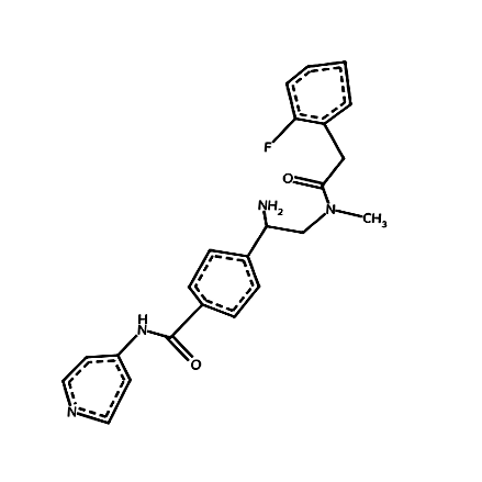 CN(CC(N)c1ccc(C(=O)Nc2ccncc2)cc1)C(=O)Cc1ccccc1F